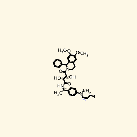 COc1cc2c(cc1OC)C(c1ccccc1)N(C(=O)[C@H](O)[C@@H](O)C(=O)N[C@H](C)c1ccc(N(N)/C=C\CI)cc1)CC2